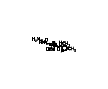 CC(C)COc1c(C(=O)NC2C(C)CC(C)CC3CC32)cnn1/C=C/CC(=O)NCCN